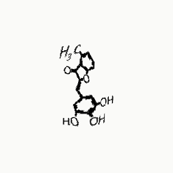 Cc1cccc2c1C(=O)/C(=C/c1cc(O)c(O)c(O)c1)O2